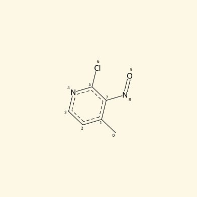 Cc1ccnc(Cl)c1N=O